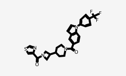 O=C(c1ccc2c(ccn2-c2ccc(C(F)(F)F)cc2)c1)N1CCC(C2CN(C(=O)c3cscn3)C2)CC1